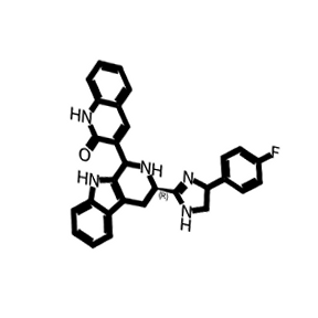 O=c1[nH]c2ccccc2cc1C1N[C@@H](C2=NC(c3ccc(F)cc3)CN2)Cc2c1[nH]c1ccccc21